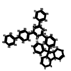 C1=CC2C(CC1)C1C=CCCC1C2(c1ccccc1)c1cccc(-c2nc(-c3ccccc3)nc(-c3ccc(-c4ccccc4)cc3)n2)c1